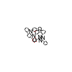 C1=CC2c3ccc4c5ccccc5n(-c5ccccc5)c4c3N(c3ccc4oc5cccc(-c6nc(-c7ccccc7)nc(-c7ccccc7)n6)c5c4c3)C2C=C1